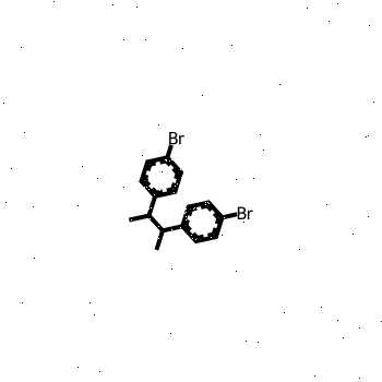 CC(c1ccc(Br)cc1)C(C)c1ccc(Br)cc1